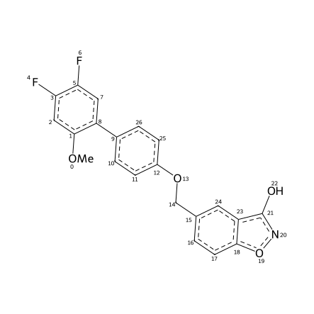 COc1cc(F)c(F)cc1-c1ccc(OCc2ccc3onc(O)c3c2)cc1